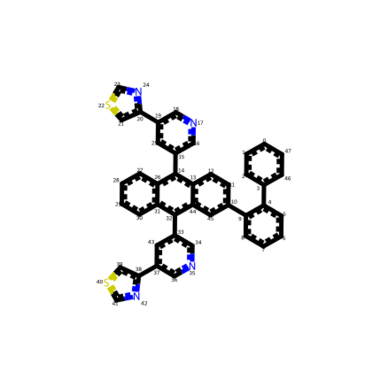 c1ccc(-c2ccccc2-c2ccc3c(-c4cncc(-c5cscn5)c4)c4ccccc4c(-c4cncc(-c5cscn5)c4)c3c2)cc1